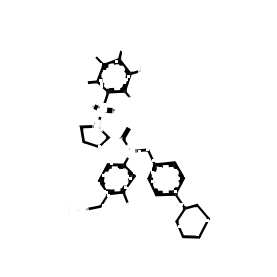 O=C([C@@H]1CCCN1S(=O)(=O)c1c(F)c(F)c(F)c(F)c1F)N(Cc1ccc(C2CCCCC2)cc1)c1ccc(CO)c(O)c1